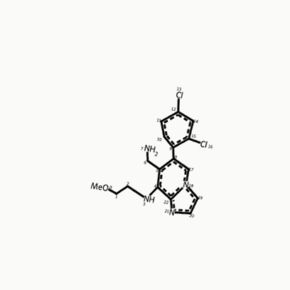 COCCNc1c(CN)c(-c2ccc(Cl)cc2Cl)cn2ccnc12